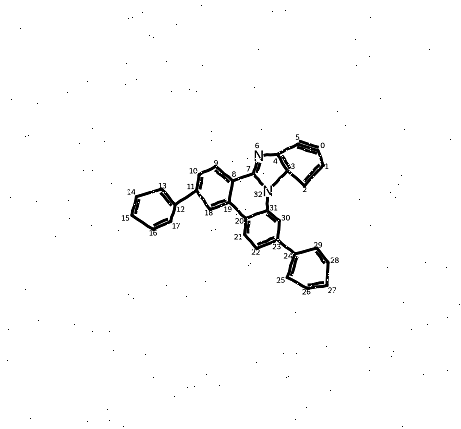 c1ccc2c(c#1)nc1c3ccc(-c4ccccc4)cc3c3ccc(-c4ccccc4)cc3n21